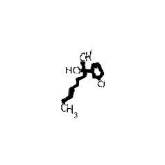 C#CC(O)(CCCCCCC)c1cccc(Cl)c1